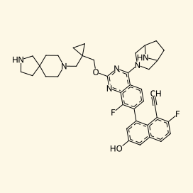 C#Cc1c(F)ccc2cc(O)cc(-c3ccc4c(N5CC6CCC(C5)N6)nc(OCC5(CN6CCC7(CCNC7)CC6)CC5)nc4c3F)c12